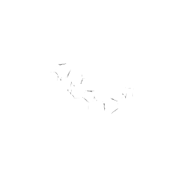 Cc1cccc(-n2ncc3c(C)n(-c4cccc(N5CCC5)c4)c(C)c3c2=O)n1